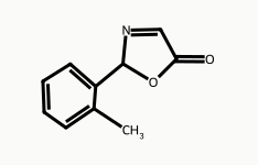 Cc1ccccc1C1N=CC(=O)O1